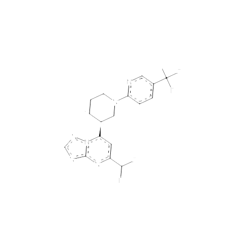 C[C@@H]1CCN(c2ccc(C(F)(F)F)cn2)C[C@H]1c1cc(C(F)F)nc2ncnn12